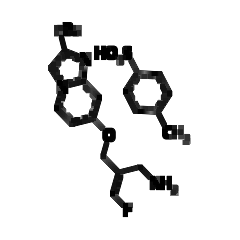 CCCCc1cn2ccc(OC/C(=C/F)CN)cc2n1.Cc1ccc(S(=O)(=O)O)cc1